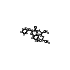 CC(O)COC(C)COC(=O)C(Oc1ccccc1)Oc1ccccc1